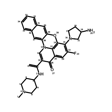 C=C(NC1CCN(C)CC1)c1cn2c3c(c(N4CCC(N)C4)c(F)cc3c1=O)Oc1cc3ccccc3cc1-2